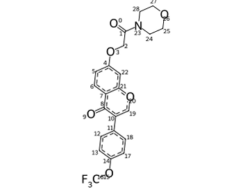 O=C(COc1ccc2c(=O)c(-c3ccc(OC(F)(F)F)cc3)coc2c1)N1CCOCC1